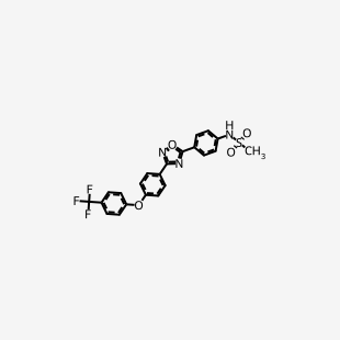 CS(=O)(=O)Nc1ccc(-c2nc(-c3ccc(Oc4ccc(C(F)(F)F)cc4)cc3)no2)cc1